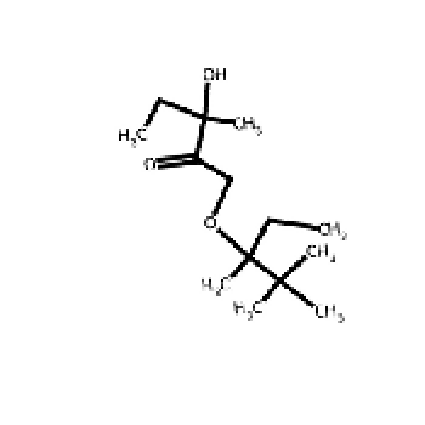 CCC(C)(O)C(=O)COC(C)(CC)C(C)(C)C